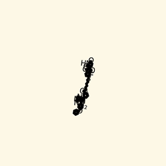 Nc1ncnc2c1c(-c1ccc(Oc3ccccc3)cc1)nn2C1CCCN(C(=O)CCCCCCSc2ccc3c(c2F)C(=O)N(C2CCC(=O)NC2=O)C3=O)C1